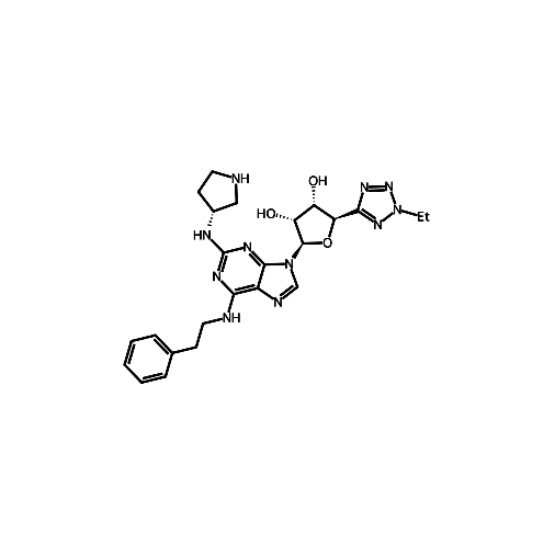 CCn1nnc([C@H]2O[C@@H](n3cnc4c(NCCc5ccccc5)nc(N[C@@H]5CCNC5)nc43)[C@H](O)[C@@H]2O)n1